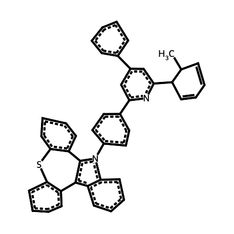 CC1C=CC=CC1c1cc(-c2ccccc2)cc(-c2ccc(-n3c4c(c5ccccc53)-c3ccccc3Sc3ccccc3-4)cc2)n1